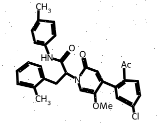 COc1cn(C(Cc2ccccc2C)C(=O)Nc2ccc(C)cc2)c(=O)cc1-c1cc(Cl)ccc1C(C)=O